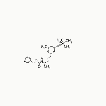 C[C@@H](CCCc1cc(C#C[Si](C)(C)C)cc(C(F)(F)F)c1)NC(=O)OCc1ccccc1